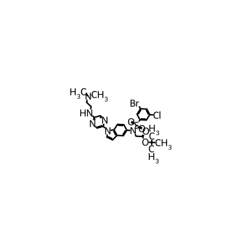 CN(C)CCNc1cnc(-n2ccc3cc(N(CC(=O)OC(C)(C)C)S(=O)(=O)c4cc(Cl)cc(Br)c4)ccc32)cn1